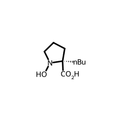 CCCC[C@@]1(C(=O)O)CCCN1O